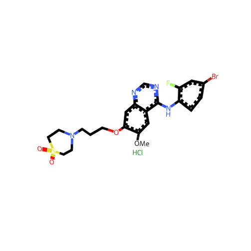 COc1cc2c(Nc3ccc(Br)cc3F)ncnc2cc1OCCCN1CCS(=O)(=O)CC1.Cl